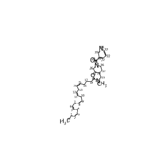 CC/C=C\C/C=C\C/C=C\C/C=C\C/C=C\CCCC(=O)N(C)CC1CCN(C(=O)c2cccnc2)CC1